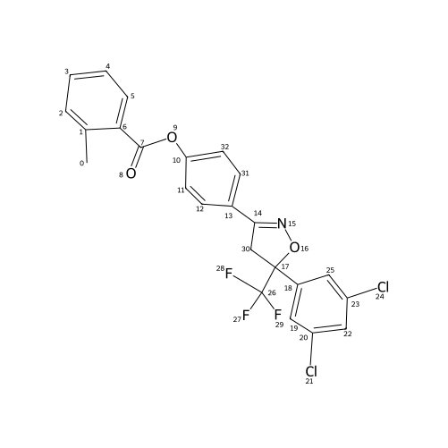 Cc1ccccc1C(=O)Oc1ccc(C2=NOC(c3cc(Cl)cc(Cl)c3)(C(F)(F)F)C2)cc1